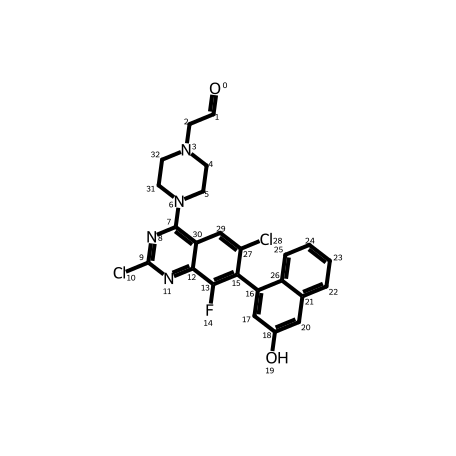 O=CCN1CCN(c2nc(Cl)nc3c(F)c(-c4cc(O)cc5ccccc45)c(Cl)cc23)CC1